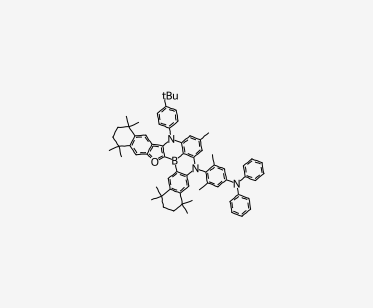 Cc1cc2c3c(c1)N(c1ccc(C(C)(C)C)cc1)c1c(oc4cc5c(cc14)C(C)(C)CCC5(C)C)B3c1cc3c(cc1N2c1c(C)cc(N(c2ccccc2)c2ccccc2)cc1C)C(C)(C)CCC3(C)C